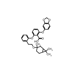 CC1(OCCc2ccccc2Oc2cccc(Oc3ccc4c(c3)OCO4)c2C(=O)O)CCC2C(C1)C2(C)C